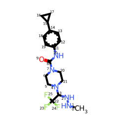 CNNC(N1CCN(C(=O)Nc2ccc(C3CC3)cc2)CC1)C(F)(F)F